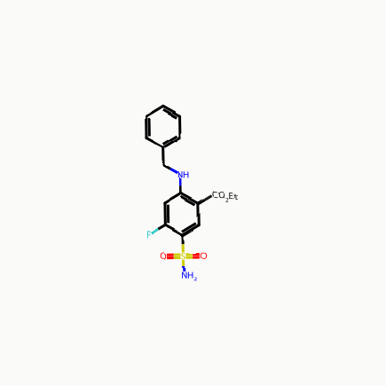 CCOC(=O)c1cc(S(N)(=O)=O)c(F)cc1NCc1ccccc1